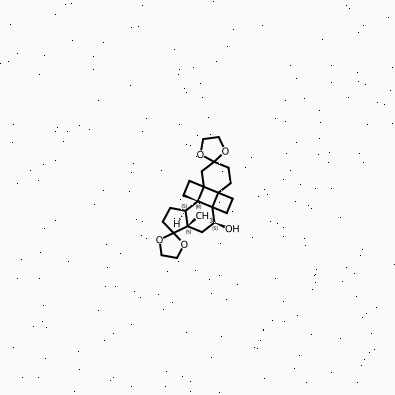 C[C@]12C[C@H](O)C34CCC35CCC3(CC56CC[C@@]64[C@@H]1CCC21OCCO1)OCCO3